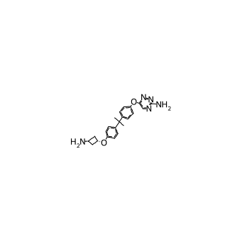 CC(C)(c1ccc(Oc2cnc(N)nn2)cc1)c1ccc(O[C@H]2C[C@H](N)C2)cc1